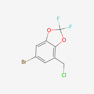 FC1(F)Oc2cc(Br)cc(CCl)c2O1